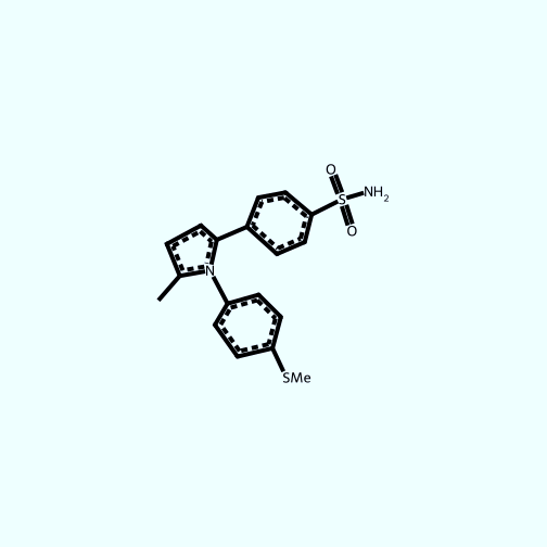 CSc1ccc(-n2c(C)ccc2-c2ccc(S(N)(=O)=O)cc2)cc1